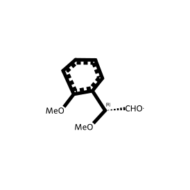 COc1ccccc1[C@H]([C]=O)OC